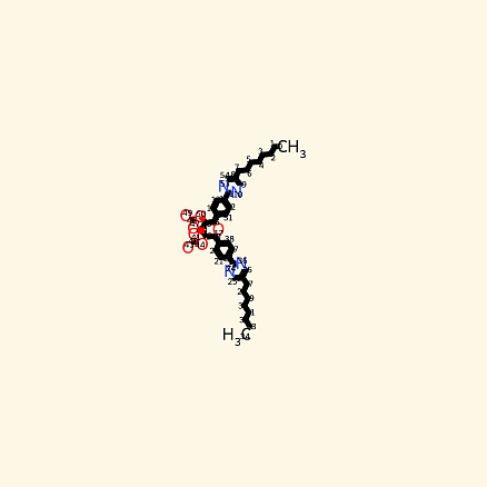 CCCCCCCCc1cnc(-c2ccc([C@H](O[C@@H](c3ccc(-c4ncc(CCCCCCCC)cn4)cc3)C3COC(=O)O3)C3COC(=O)O3)cc2)nc1